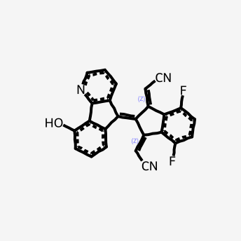 N#C/C=C1/C(=C2c3cccnc3-c3c(O)cccc32)/C(=C/C#N)c2c(F)ccc(F)c21